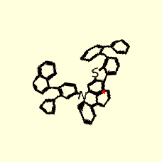 c1ccc(-c2cc(N(c3ccc4c(c3)sc3c(-c5ccccc5-c5ccccc5)cccc34)c3ccccc3-c3ccccc3)ccc2-c2cccc3ccccc23)cc1